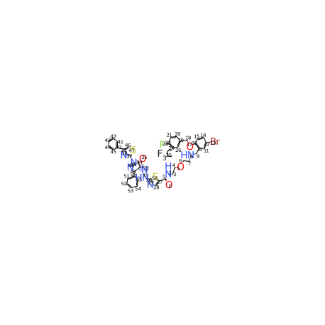 O=C(NCCOCCNCc1cc(Br)ccc1OCc1ccc(F)c(C(F)(F)F)c1)c1cnc(N/N=C2/C(=O)N(c3nc(-c4ccccc4)cs3)N=C2c2ccccc2)s1